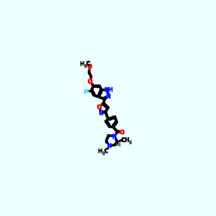 COCCOc1cc2[nH]nc(-c3cc(-c4ccc(C(=O)N5CCN(C)C[C@@H]5C)cc4)no3)c2cc1F